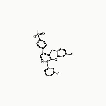 CS(=O)(=O)c1ccc(-c2cnn(-c3cccc(Cl)c3)c(=O)c2Cc2ccc(F)cc2)cc1